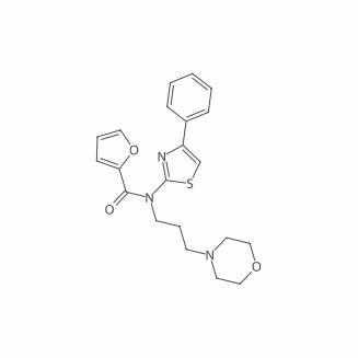 O=C(c1ccco1)N(CCCN1CCOCC1)c1nc(-c2ccccc2)cs1